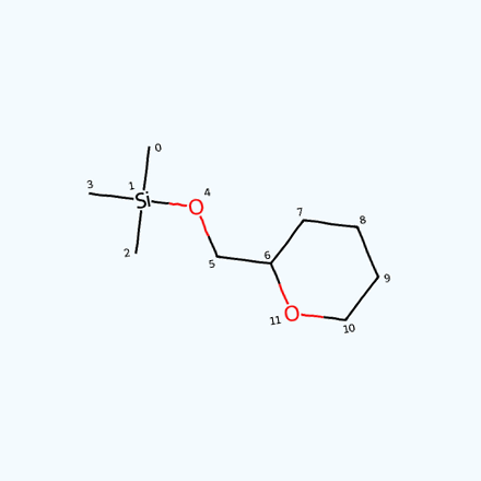 C[Si](C)(C)OCC1CCCCO1